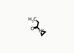 CCC(=O)[N+]1CC1